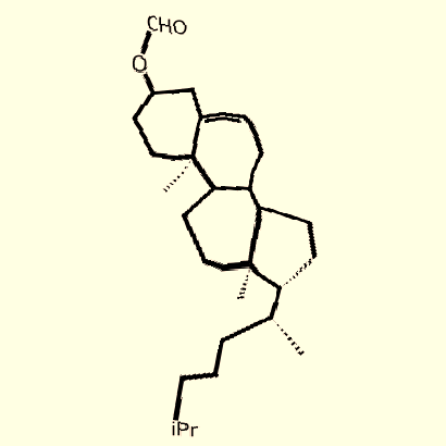 CC(C)CCC[C@@H](C)[C@H]1CCC2C3CC=C4CC(OC=O)CC[C@]4(C)C3CC[C@@]21C